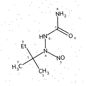 CCC(C)(C)N(N=O)NC(N)=O